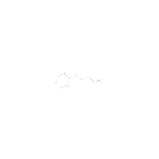 CCC=CCCC1C=CCCC1